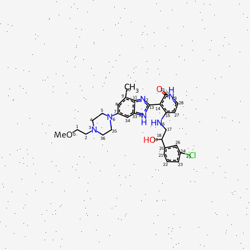 COCCN1CCN(c2cc(C)c3nc(-c4c(NCC(O)c5cccc(Cl)c5)cc[nH]c4=O)[nH]c3c2)CC1